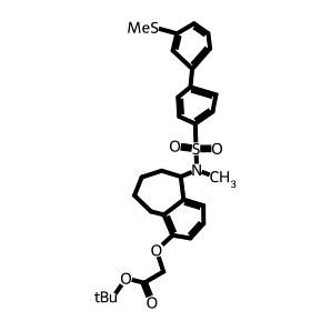 CSc1cccc(-c2ccc(S(=O)(=O)N(C)C3CCCCc4c(OCC(=O)OC(C)(C)C)cccc43)cc2)c1